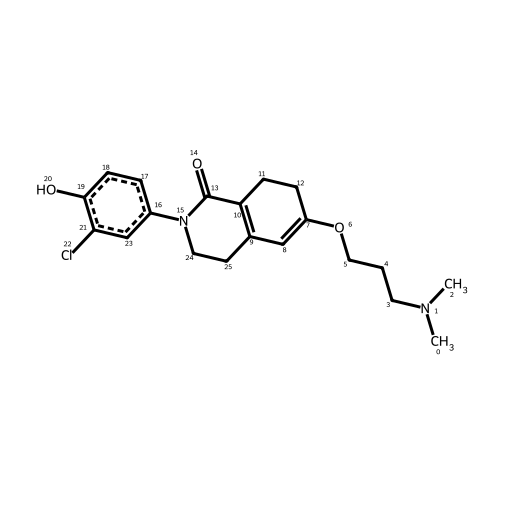 CN(C)CCCOC1=CC2=C(CC1)C(=O)N(c1ccc(O)c(Cl)c1)CC2